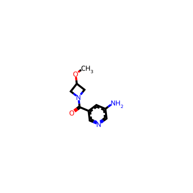 COC1CN(C(=O)c2cncc(N)c2)C1